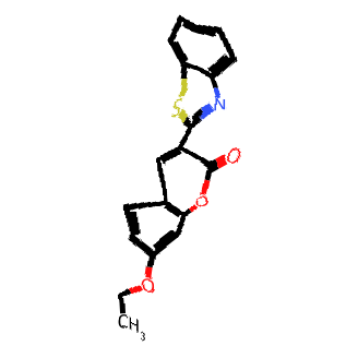 CCOc1ccc2cc(-c3nc4ccccc4s3)c(=O)oc2c1